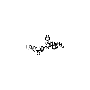 CN1CCN(C(=O)c2ccc(-c3nc(N4CCOCC4)c4nc5n(c4n3)CCOC5(C)C)cn2)CC1